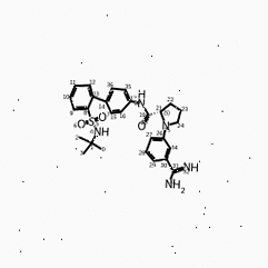 CC(C)(C)NS(=O)(=O)c1ccccc1-c1ccc(NC(=O)[C@@H]2CCCN2c2cccc(C(=N)N)c2)cc1